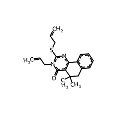 C=CCSc1nc2c(c(=O)n1CC=C)C(C)(C)Cc1ccccc1-2